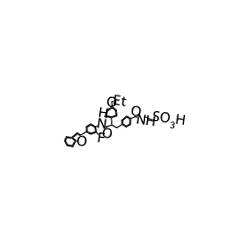 CCOc1ccc(C(Cc2ccc(C(=O)NCCS(=O)(=O)O)cc2)C(=O)Nc2ccc(-c3cc4ccccc4o3)cc2F)cc1